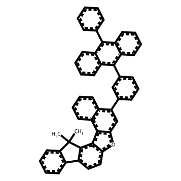 CC1(C)c2ccccc2-c2ccc3oc4cc(-c5cccc(-c6c7ccccc7c(-c7ccccc7)c7ccccc67)c5)c5ccccc5c4c3c21